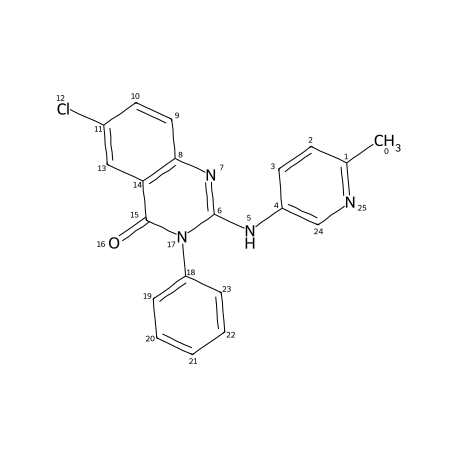 Cc1ccc(Nc2nc3ccc(Cl)cc3c(=O)n2-c2ccccc2)cn1